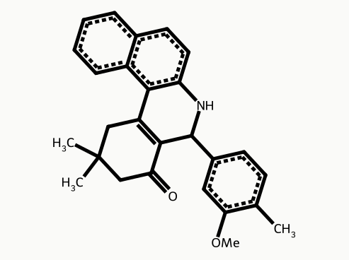 COc1cc(C2Nc3ccc4ccccc4c3C3=C2C(=O)CC(C)(C)C3)ccc1C